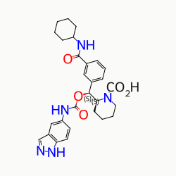 O=C(Nc1ccc2[nH]ncc2c1)O[C@@H](c1cccc(C(=O)NC2CCCCC2)c1)[C@@H]1CCCCN1C(=O)O